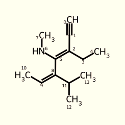 C#C/C(CC)=C(NC)/C(=C\C)C(C)C